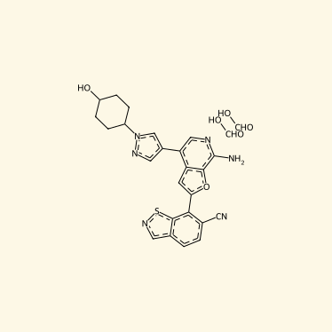 N#Cc1ccc2cnsc2c1-c1cc2c(-c3cnn(C4CCC(O)CC4)c3)cnc(N)c2o1.O=CO.O=CO